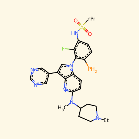 CCCS(=O)(=O)Nc1ccc(P)c(-n2cc(-c3cncnc3)c3nc(N(C)C4CCN(CC)CC4)ccc32)c1F